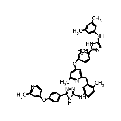 C=C(/C=C\C(=C/C)Oc1cc(C)nc(Cc2cc(Nc3nnc(-c4ccc(Oc5ccnc(C)c5)cc4)[nH]3)ccc2C)c1)c1nnc(Nc2cc(C)cc(C)c2)[nH]1